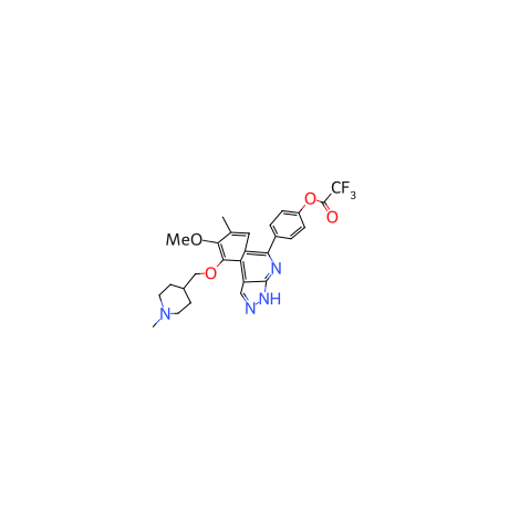 COc1c(C)cc2c(-c3ccc(OC(=O)C(F)(F)F)cc3)nc3[nH]ncc3c2c1OCC1CCN(C)CC1